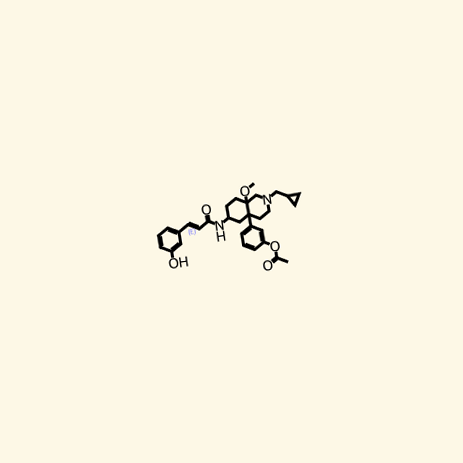 COC12CCC(NC(=O)/C=C/c3cccc(O)c3)CC1(c1cccc(OC(C)=O)c1)CCN(CC1CC1)C2